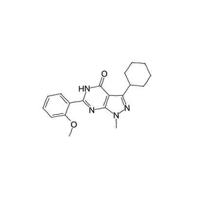 COc1ccccc1-c1nc2c(c(C3CCCCC3)nn2C)c(=O)[nH]1